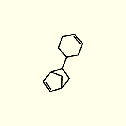 C1=CCC(C2CC3C=CC2C3)CC1